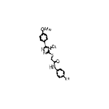 CCc1ccc(NC(=O)CSc2nnc(-c3ccc(OC)cc3)n2CC)cc1